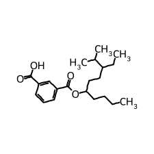 CCCCC(CCC(CC)C(C)C)OC(=O)c1cccc(C(=O)O)c1